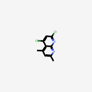 Cc1cc(C)c2c(Cl)cc(Cl)nc2n1